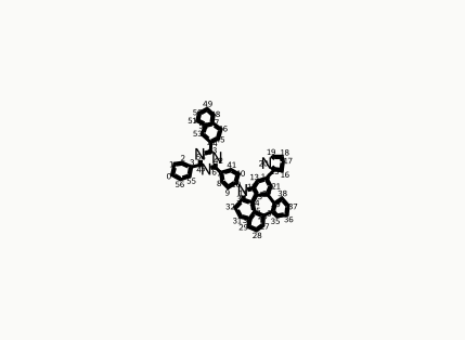 c1ccc(-c2nc(-c3ccc(-n4c5cc(-c6ccccn6)cc6c5c5c7c(cccc7ccc54)-c4ccccc4-6)cc3)nc(-c3ccc4ccccc4c3)n2)cc1